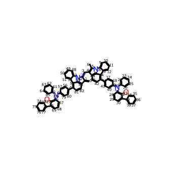 C=c1/c(=C\c2c(C)n3c4ccccc4c4c(-c5ccc(N(c6ccccc6)c6cccc7c6oc6ccccc67)cc5)ccc2c43)n2c3ccccc3c3c(-c4ccc(N(c5ccccc5)c5cccc6c5oc5ccccc56)cc4)ccc1c32